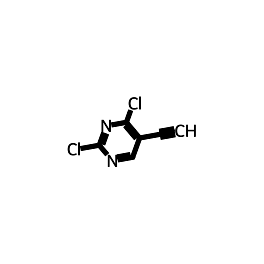 C#Cc1cnc(Cl)nc1Cl